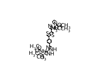 COC(=O)N[C@H](C(=O)[C@@H]1CNC(c2nc(-c3ccc(-c4csc5c(-c6cnc([C@@H]7CCCN7C(=O)OC(C)(C)C)[nH]6)csc45)cc3)c[nH]2)C1)C(C)C